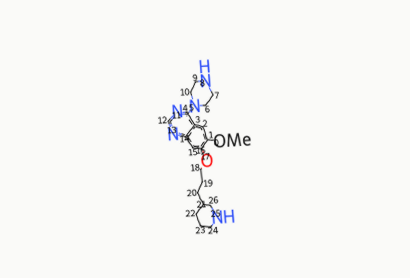 COc1cc2c(N3CCNCC3)ncnc2cc1OCCCC1CCCNC1